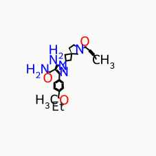 CC#CC(=O)N1CC[C@]2(C1)C[C@H](n1nc(-c3ccc(C(C)OCC)cc3)c(C(N)=O)c1N)C2